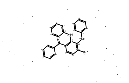 O=C(c1ccccc1)c1ccc(Br)c(Nc2ccccc2)c1Nc1ccccc1